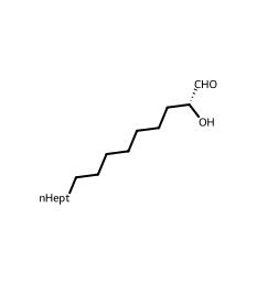 CCCCCCCCCCCCCC[C@@H](O)C=O